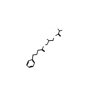 CC(N)C(=O)OCC(O)COC(=O)CCCc1ccccc1